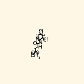 COC(=O)CCC(=O)Nc1ncc(Cl)cc1Cl